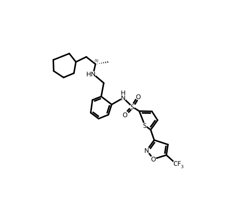 C[C@@H](CC1CCCCC1)NCc1ccccc1NS(=O)(=O)c1ccc(-c2cc(C(F)(F)F)on2)s1